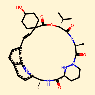 CC(C)[C@H]1OC(=O)C2(/C=C/c3ccc4ccc(nc4c3)[C@@H](C)NC(=O)[C@@H]3CCCN(N3)C(=O)[C@H](C)NC1=O)CCC(O)CC2